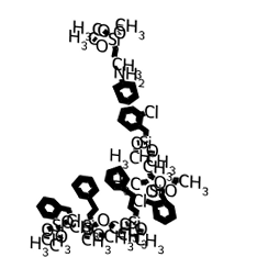 CCC[Si](OC)(OC)OC.CCO[Si](OCC)(OCC)c1ccccc1Cl.CO[SiH](CCCc1ccccc1)OC.CO[SiH](Cc1ccccc1Cl)OC.CO[Si](CCc1ccccc1)(OC)OC.CO[Si](OC)(OC)c1ccccc1CCl.Nc1ccccc1